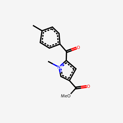 COC(=O)c1cc(C(=O)c2ccc(C)cc2)n(C)c1